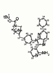 CC(C)(C)OC(=O)N1CC2CCC1CN2Cc1ccc(-n2c(-c3cccnc3N)nc3ccc(-c4ccccc4)nc32)cc1